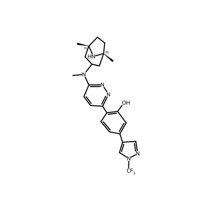 CN(c1ccc(-c2ccc(-c3cnn(C(F)(F)F)c3)cc2O)nn1)C1C[C@]2(C)CC[C@](C)(C1)N2